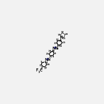 FC(F)(F)c1ccc(/N=N/c2ccc(/N=N/c3ccc(N4CCCC4)cc3)cc2)cc1